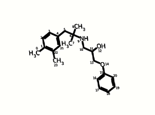 Cc1ccc(CC(C)(C)NCC(O)COc2ccccc2)cc1C